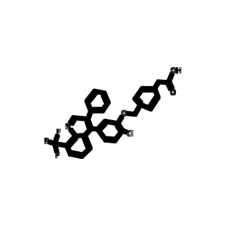 O=C(O)Cc1ccc(COc2cc(-c3c(-c4ccccc4)cnc4c(C(F)(F)F)cccc34)ccc2Cl)cc1